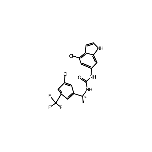 C[C@H](NC(=O)Nc1cc(Cl)c2cc[nH]c2c1)c1cc(Cl)cc(C(F)(F)F)c1